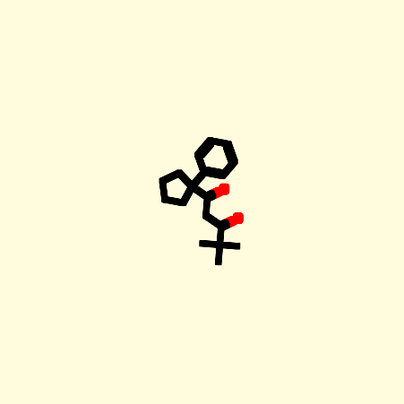 CC(C)(C)C(=O)CC(=O)C1(c2ccccc2)CCCC1